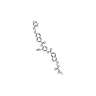 C=CC(=O)OCOc1ccc2cc(C(=O)Oc3ccc(OC(=O)c4ccc5cc(OCOC(=O)C=C)ccc5c4)c(CCC)c3)ccc2c1